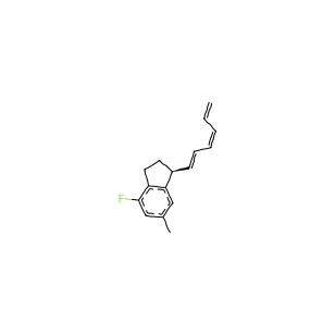 C=C/C=C\C=C\[C@@H]1CCc2c(F)cc(C)cc21